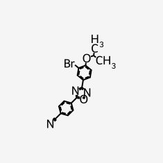 CC(C)Oc1ccc(-c2noc(-c3ccc(C#N)cc3)n2)cc1Br